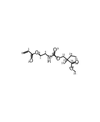 C=CC(=O)OCCNC(=O)OCC(C)(CC)C(=O)OC